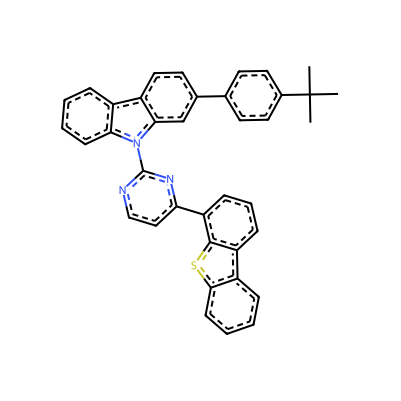 CC(C)(C)c1ccc(-c2ccc3c4ccccc4n(-c4nccc(-c5cccc6c5sc5ccccc56)n4)c3c2)cc1